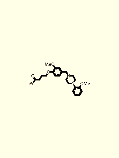 COc1cc(CN2CCN(c3ccccc3OC)CC2)ccc1OCCCC(=O)C(C)C